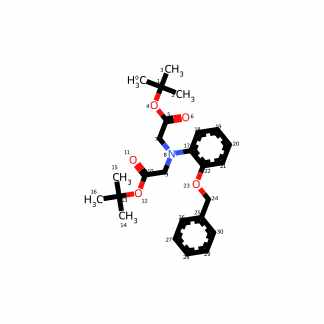 CC(C)(C)OC(=O)CN(CC(=O)OC(C)(C)C)c1ccccc1OCc1ccccc1